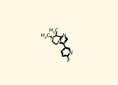 CC1c2ncc(-c3ccc(F)nc3)n2CCN1C